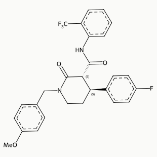 COc1ccc(CN2CC[C@H](c3ccc(F)cc3)[C@@H](C(=O)Nc3ccccc3C(F)(F)F)C2=O)cc1